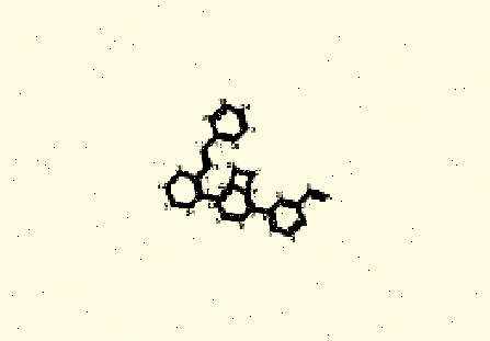 C=Cc1cccc(-c2ccc(C3=C(C=Cc4ccccc4)CCCC3)c3c2CC3)c1